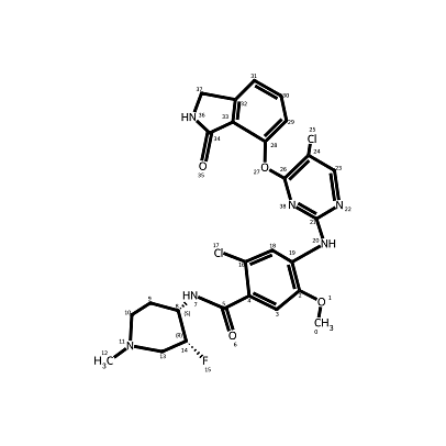 COc1cc(C(=O)N[C@H]2CCN(C)C[C@H]2F)c(Cl)cc1Nc1ncc(Cl)c(Oc2cccc3c2C(=O)NC3)n1